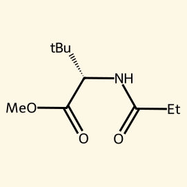 CCC(=O)N[C@H](C(=O)OC)C(C)(C)C